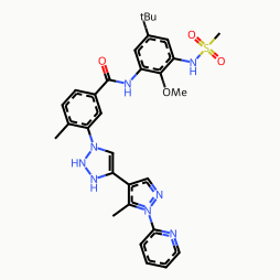 COc1c(NC(=O)c2ccc(C)c(N3C=C(c4cnn(-c5ccccn5)c4C)NN3)c2)cc(C(C)(C)C)cc1NS(C)(=O)=O